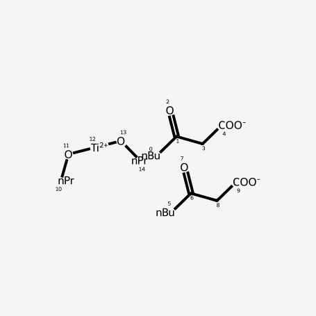 CCCCC(=O)CC(=O)[O-].CCCCC(=O)CC(=O)[O-].CCC[O][Ti+2][O]CCC